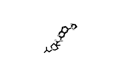 CC(C)CN1CCC(C)(C(=O)Nc2cc3cc(-n4nccn4)ccc3cn2)CC1